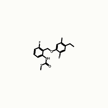 CCc1cc(F)c(OCc2c(F)cccc2NC(=O)SC)cc1C